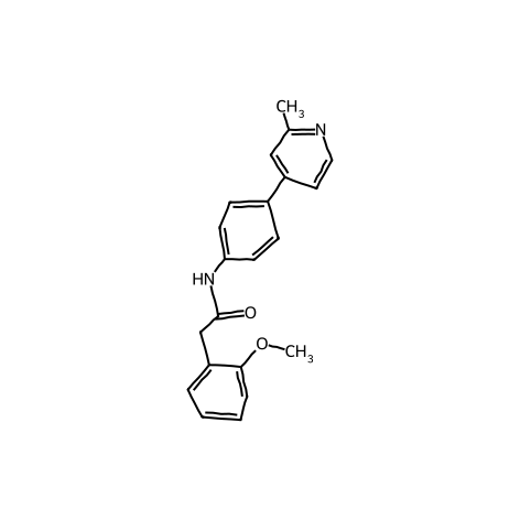 COc1ccccc1CC(=O)Nc1ccc(-c2ccnc(C)c2)cc1